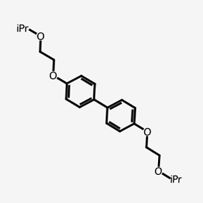 CC(C)OCCOc1ccc(-c2ccc(OCCOC(C)C)cc2)cc1